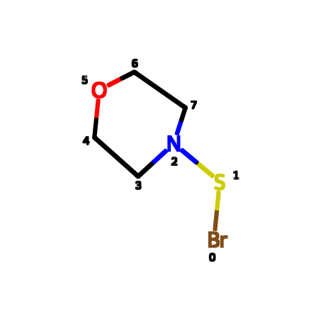 BrSN1CCOCC1